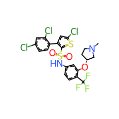 CN1CC[C@@H](Oc2cc(NS(=O)(=O)c3sc(Cl)cc3-c3ccc(Cl)cc3Cl)ccc2C(F)(F)F)C1